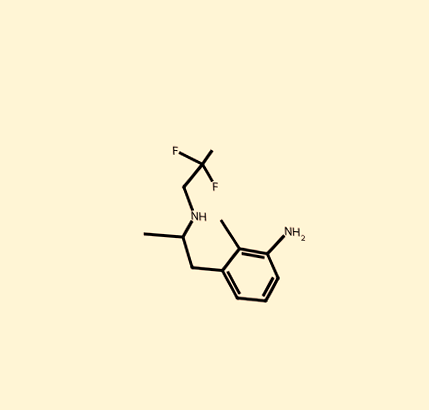 Cc1c(N)cccc1CC(C)NCC(C)(F)F